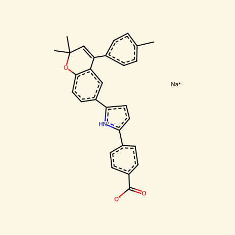 Cc1ccc(C2=CC(C)(C)Oc3ccc(-c4ccc(-c5ccc(C(=O)[O-])cc5)[nH]4)cc32)cc1.[Na+]